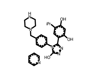 CC(C)c1cc(-c2nnc(O)n2-c2ccc(CN3CCNCC3)cc2)c(O)cc1O.c1ccncc1